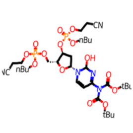 CCCCOP(=O)(OCCC#N)OC[C@H]1O[C@@H](N2C=CC(N(C(=O)OC(C)(C)C)C(=O)OC(C)(C)C)=NC2O)C[C@@H]1OP(=O)(OCCC#N)OCCCC